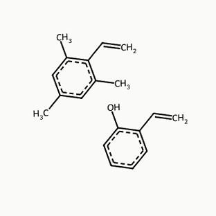 C=Cc1c(C)cc(C)cc1C.C=Cc1ccccc1O